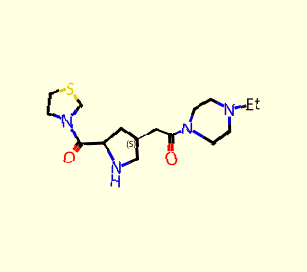 CCN1CCN(C(=O)C[C@H]2CNC(C(=O)N3CCSC3)C2)CC1